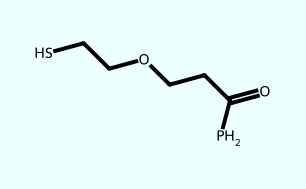 O=C(P)CCOCCS